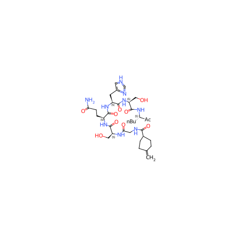 C=C1CCC(C(=O)NCC(=O)N[C@@H](CO)C(=O)N[C@@H](CCC(N)=O)C(=O)N[C@@H](Cc2c[nH]cn2)C(=O)N[C@@H](CO)C(=O)N[C@@H](CCCC)C(C)=O)CC1